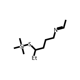 C/C=N/CCCC(CC)S[Si](C)(C)C